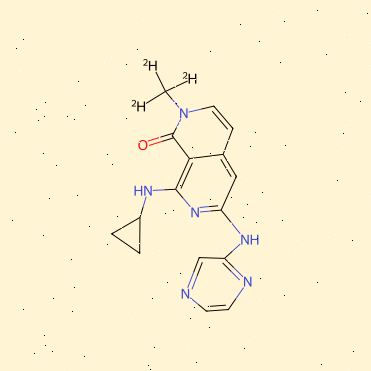 [2H]C([2H])([2H])n1ccc2cc(Nc3cnccn3)nc(NC3CC3)c2c1=O